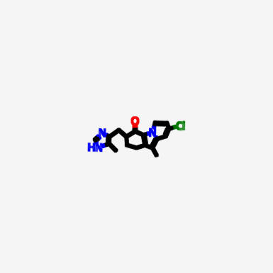 Cc1[nH]cnc1CC1CCc2c(C)c3cc(Cl)ccn3c2C1=O